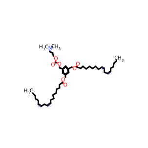 CCCCC/C=C\C/C=C\CCCCCCCC(=O)OCc1cc(COC(=O)CCCCCCC/C=C\C/C=C\CCCCC)cc(COC(=O)OCCCN(C)C)c1